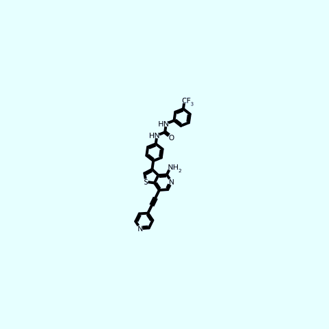 Nc1ncc(C#Cc2ccncc2)c2scc(-c3ccc(NC(=O)Nc4cccc(C(F)(F)F)c4)cc3)c12